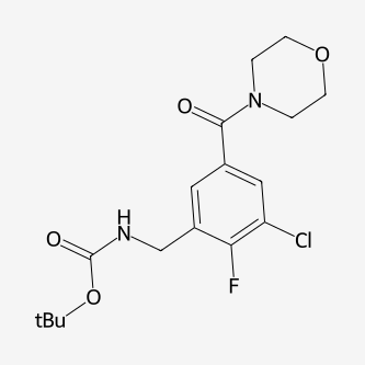 CC(C)(C)OC(=O)NCc1cc(C(=O)N2CCOCC2)cc(Cl)c1F